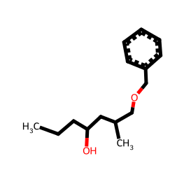 CCCC(O)CC(C)COCc1ccccc1